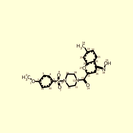 COc1ccc(S(=O)(=O)N2CCN(C(=O)c3c/c(=N/O)c4ccc(C)cc4o3)CC2)cc1